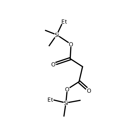 CC[Si](C)(C)OC(=O)CC(=O)O[Si](C)(C)CC